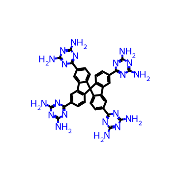 Nc1nc(N)nc(-c2ccc3c(c2)-c2cc(-c4nc(N)nc(N)n4)ccc2C32c3ccc(-c4nc(N)nc(N)n4)cc3-c3cc(-c4nc(N)nc(N)n4)ccc32)n1